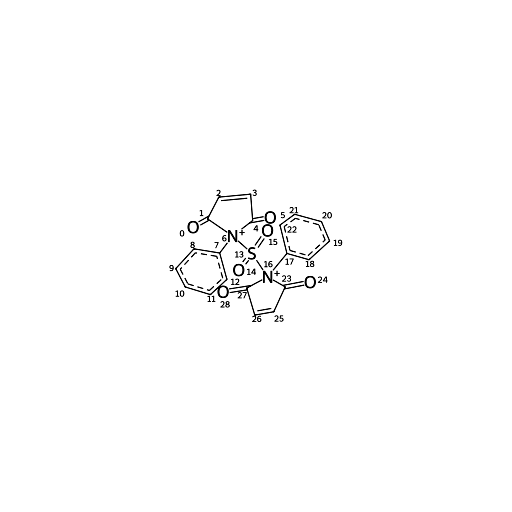 O=C1C=CC(=O)[N+]1(c1ccccc1)S(=O)(=O)[N+]1(c2ccccc2)C(=O)C=CC1=O